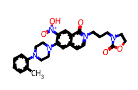 Cc1ccccc1N1CCN(c2cc3ccn(CCCN4CCOC4=O)c(=O)c3cc2[N+](=O)O)CC1